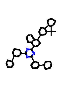 CC1(C)c2ccccc2-c2ccc(-c3ccc(-c4nc(-c5cccc(-c6ccccc6)c5)nc(-c5cccc(-c6ccccc6)c5)n4)c4ccccc34)cc21